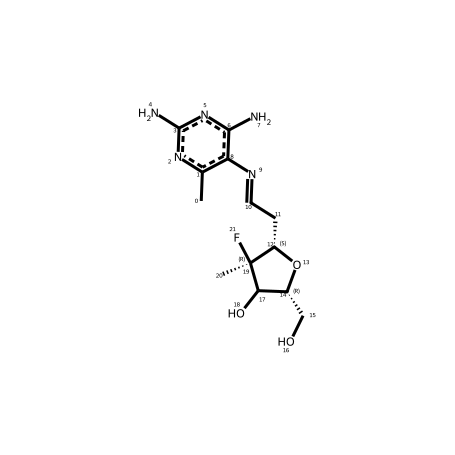 Cc1nc(N)nc(N)c1N=CC[C@@H]1O[C@H](CO)C(O)[C@@]1(C)F